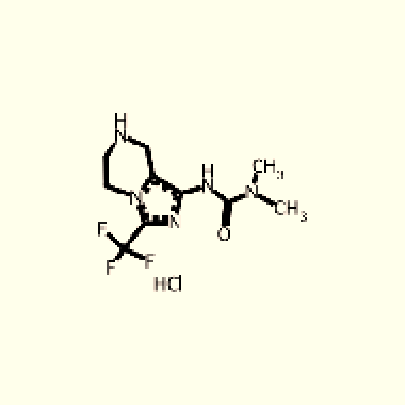 CN(C)C(=O)Nc1nc(C(F)(F)F)n2c1CNCC2.Cl